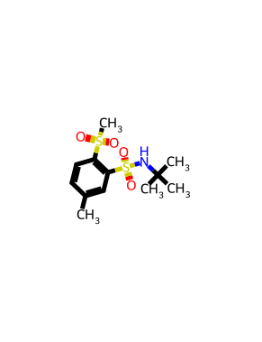 Cc1ccc(S(C)(=O)=O)c(S(=O)(=O)NC(C)(C)C)c1